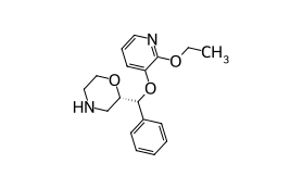 CCOc1ncccc1OC(c1ccccc1)[C@@H]1CNCCO1